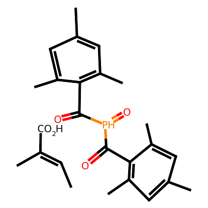 CC=C(C)C(=O)O.Cc1cc(C)c(C(=O)[PH](=O)C(=O)c2c(C)cc(C)cc2C)c(C)c1